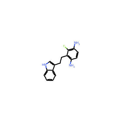 Nc1ccc(N)c(CCc2c[nH]c3ccccc23)c1F